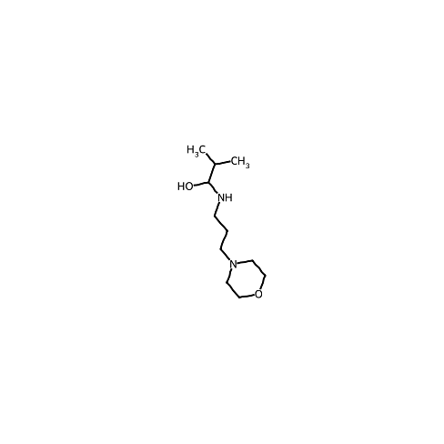 CC(C)C(O)NCCCN1CCOCC1